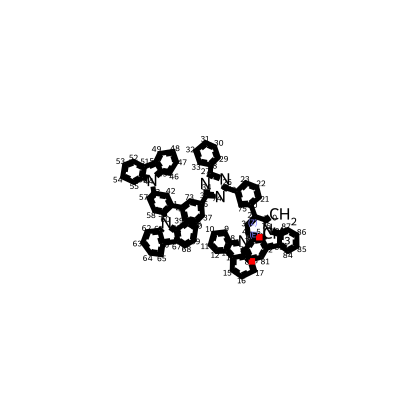 C=C(/C(=C\C(=C/C)n1c2ccccc2c2ccccc21)c1cccc(-c2nc(-c3ccccc3)nc(-c3cccc(-c4cc(-n5c6ccccc6c6ccccc65)ccc4-n4c5ccccc5c5ccccc54)c3)n2)c1)n1c2ccccc2c2ccccc21